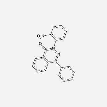 O=c1c2ccccc2c(-c2ccccc2)nn1-c1ccccc1[N+](=O)[O-]